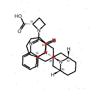 O=C(O)[C@@H]1CCN1c1nc2ccccc2n([C@H]2C[C@H]3CCC[C@@H](C2)N3[C@@H]2C[C@@H]3CCCC[C@@H](C3)C2)c1=O